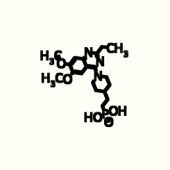 CCc1nc(N2CCC(CCP(=O)(O)O)CC2)c2cc(OC)c(OC)cc2n1